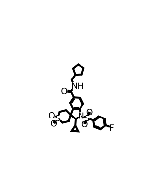 O=C(NCC1CCCC1)c1ccc2c(c1)C1(CCS(=O)(=O)CC1)C(C1CC1)N2S(=O)(=O)c1ccc(F)cc1